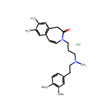 COc1ccc(CCN(C)CCCN2C=Cc3cc(C)c(C)cc3CC2=O)cc1OC.Cl